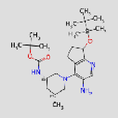 C[C@@H]1C[C@H](NC(=O)OC(C)(C)C)CN(c2c(N)cnc3c2CCC3O[Si](C)(C)C(C)(C)C)C1